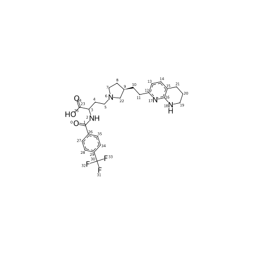 O=C(NC(CCN1CC[C@@H](CCc2ccc3c(n2)NCCC3)C1)C(=O)O)c1ccc(C(F)(F)F)cc1